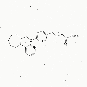 COC(=O)CCCc1ccc(OCC2=C(c3cccnc3)CCCCC2)cc1